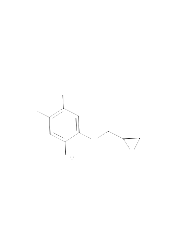 COc1cc(F)c(F)cc1OCC1CO1